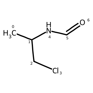 CC(CCl)NC=O